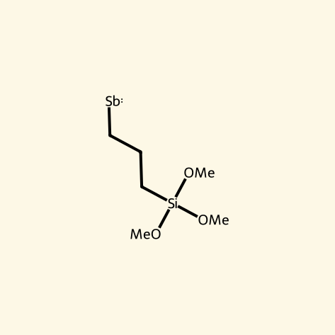 CO[Si](CC[CH2][Sb])(OC)OC